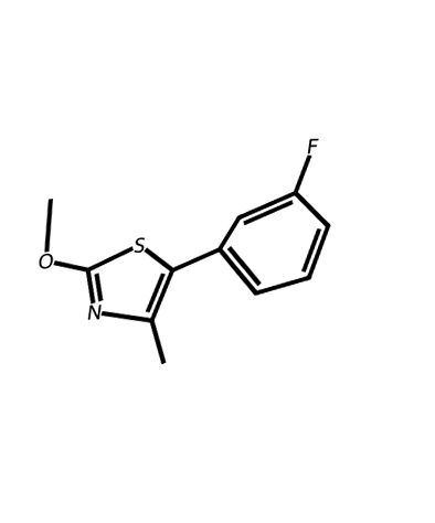 COc1nc(C)c(-c2cccc(F)c2)s1